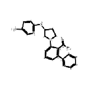 Cc1ccc(O[C@H]2CCN(c3cccc(-c4ccccc4)c3C(N)=O)C2)nc1